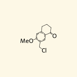 COc1cc2c(cc1CCl)C(=O)CCC2